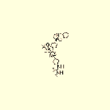 CC(C)NC(=S)Nc1ccc(-c2ncc(-c3ccc(N4CCN(Cc5ccccc5)C4=O)cc3S(=O)(=O)NC(C)(C)C)s2)cc1